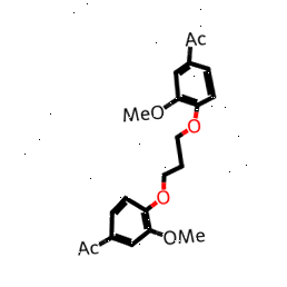 COc1cc(C(C)=O)ccc1OCCCOc1ccc(C(C)=O)cc1OC